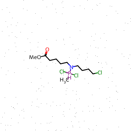 COC(=O)CCCCN(CCCCCl)[PH](C)(Cl)Cl